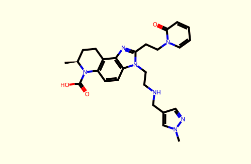 C[C@H]1CCc2c(ccc3c2nc(CCn2ccccc2=O)n3CCNCc2cnn(C)c2)N1C(=O)O